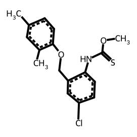 COC(=S)Nc1ccc(Cl)cc1COc1ccc(C)cc1C